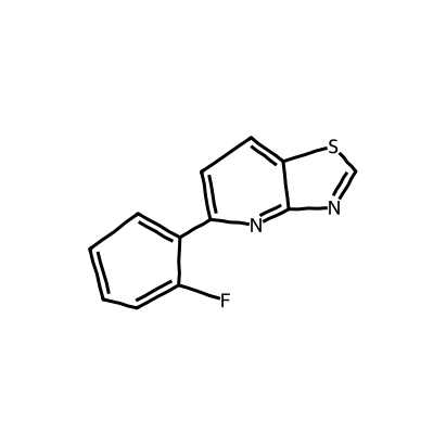 Fc1ccccc1-c1ccc2scnc2n1